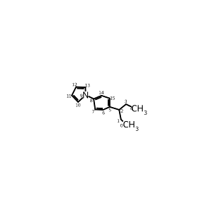 CCC(CC)c1ccc(-n2cccc2)cc1